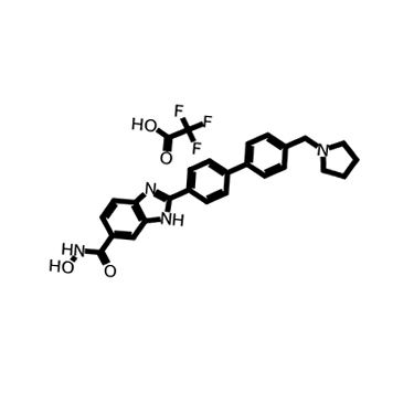 O=C(NO)c1ccc2nc(-c3ccc(-c4ccc(CN5CCCC5)cc4)cc3)[nH]c2c1.O=C(O)C(F)(F)F